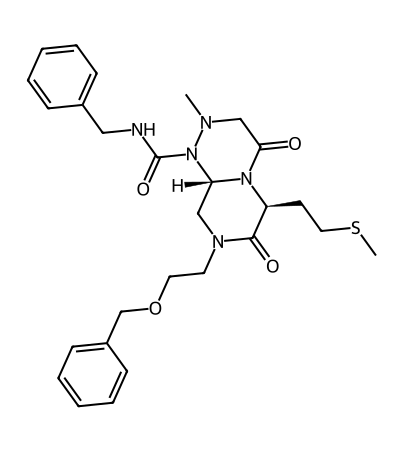 CSCC[C@H]1C(=O)N(CCOCc2ccccc2)C[C@H]2N1C(=O)CN(C)N2C(=O)NCc1ccccc1